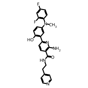 CN(c1ccc(O)c(-c2ccc(C(=O)NCCc3ccncc3)c(N)n2)c1)c1ccc(F)cc1F